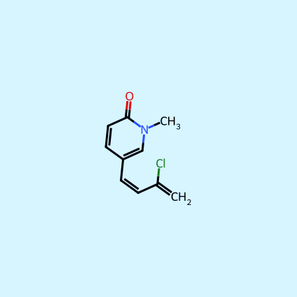 C=C(Cl)/C=C\c1ccc(=O)n(C)c1